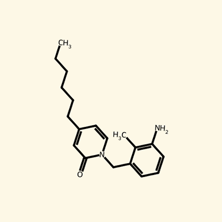 CCCCCCc1ccn(Cc2cccc(N)c2C)c(=O)c1